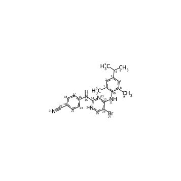 Cc1cc(C(C)C)cc(C)c1Nc1nc(Nc2ccc(C#N)cc2)ncc1Br